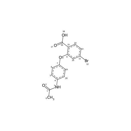 CC(=O)Nc1ccc(Oc2cc(Br)ccc2C(=O)O)cc1